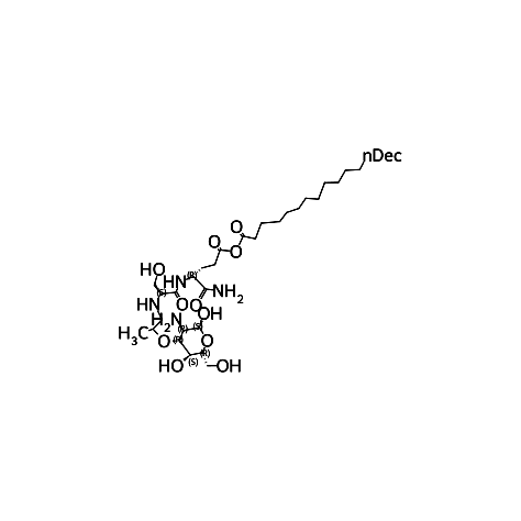 CCCCCCCCCCCCCCCCCCCCCC(=O)OC(=O)CC[C@@H](NC(=O)[C@H](CO)NCC(C)O[C@@H]1[C@@H](N)[C@@H](O)O[C@H](CO)[C@H]1O)C(N)=O